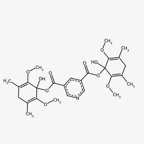 COC1=C(C)CC(C)=C(OC)C1(O)OC(=O)c1cncc(C(=O)OC2(O)C(OC)=C(C)CC(C)=C2OC)c1